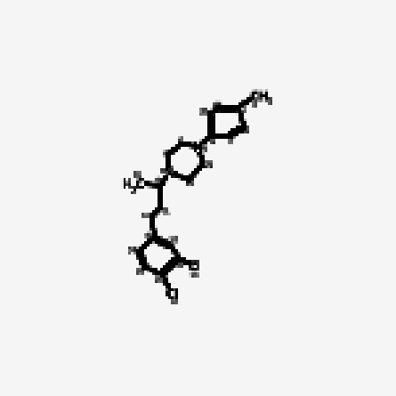 Cc1ccc(N2CCN(C(C)CCc3ccc(Cl)c(Cl)c3)CC2)cc1